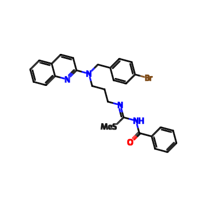 CS/C(=N\CCCN(Cc1ccc(Br)cc1)c1ccc2ccccc2n1)NC(=O)c1ccccc1